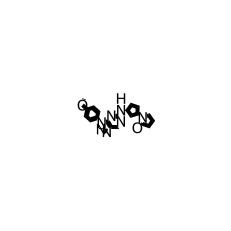 COc1ccc(-n2nnc3cnc(N[C@@H]4CC[C@@H](N5CCCC5=O)C4)nc32)cc1